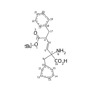 CC(C)(C)OC(=O)C(C=CC(N)(Cc1ccccc1)C(=O)O)Cc1ccccc1